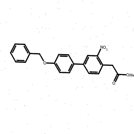 COC(=O)Cc1ccc(-c2ccc(OCc3ccccc3)cc2)cc1[N+](=O)[O-]